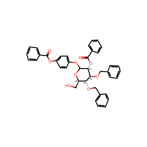 O=C(Oc1ccc(OC2O[C@H](CO)[C@@H](OCc3ccccc3)[C@H](OCc3ccccc3)[C@H]2OC(=O)c2ccccc2)cc1)c1ccccc1